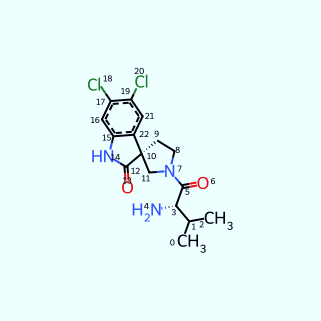 CC(C)[C@H](N)C(=O)N1CC[C@]2(C1)C(=O)Nc1cc(Cl)c(Cl)cc12